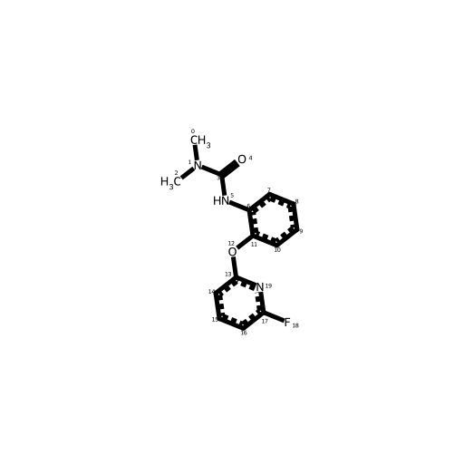 CN(C)C(=O)Nc1ccccc1Oc1cccc(F)n1